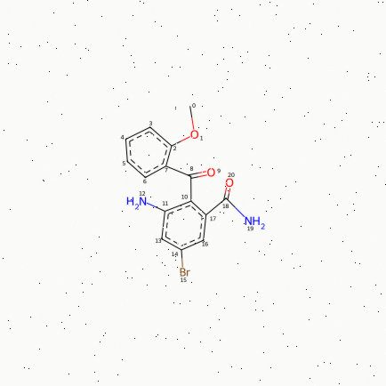 COc1ccccc1C(=O)c1c(N)cc(Br)cc1C(N)=O